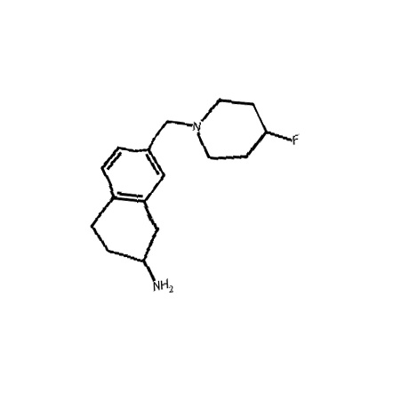 NC1CCc2ccc(CN3CCC(F)CC3)cc2C1